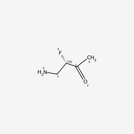 CC(=O)[C@@H](F)CN